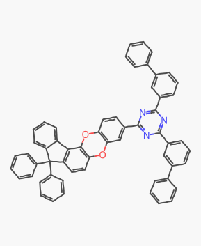 c1ccc(-c2cccc(-c3nc(-c4cccc(-c5ccccc5)c4)nc(-c4ccc5c(c4)Oc4ccc6c(c4O5)-c4ccccc4C6(c4ccccc4)c4ccccc4)n3)c2)cc1